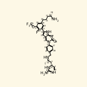 C=C[C@H](C[C@H](C)NCc1ccc(-n2cc3cc(-c4cc(CCC[C@H](C)N)cc(OC(F)(F)F)c4F)[nH]c3nc2=O)cc1)NC(=N)N